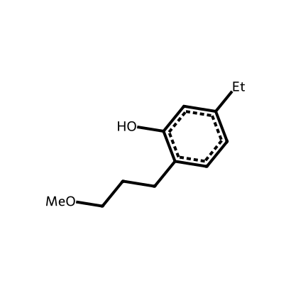 CCc1ccc(CCCOC)c(O)c1